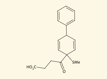 CSC1(C(=O)CCC(=O)O)C=CC(c2ccccc2)C=C1